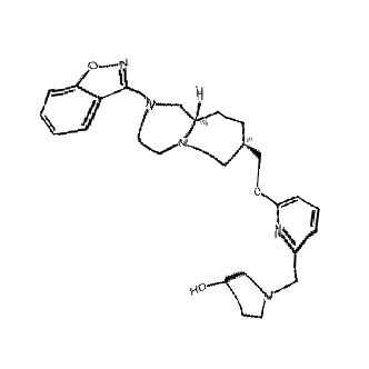 OC1CCN(Cc2cccc(OC[C@@H]3CC[C@H]4CN(c5noc6ccccc56)CCN4C3)n2)C1